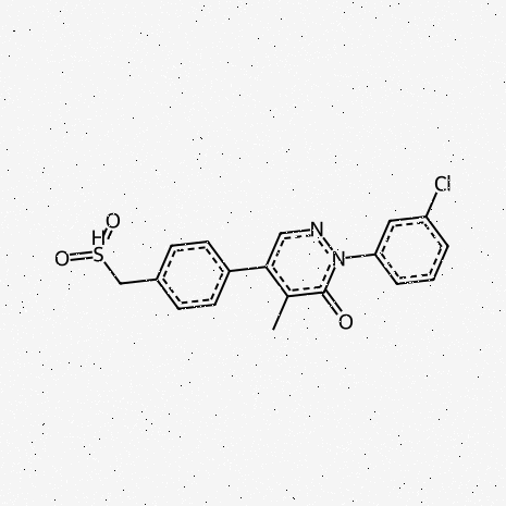 Cc1c(-c2ccc(C[SH](=O)=O)cc2)cnn(-c2cccc(Cl)c2)c1=O